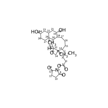 C[C@H](CCC(=O)ON1C(=O)CCC1=O)C1CCCC2C(O)CC3C[C@H](O)CCC3(C)C2C[C@H]2OCC12C